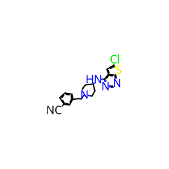 N#Cc1cccc(CN2CCC(Nc3ncnc4sc(Cl)cc34)CC2)c1